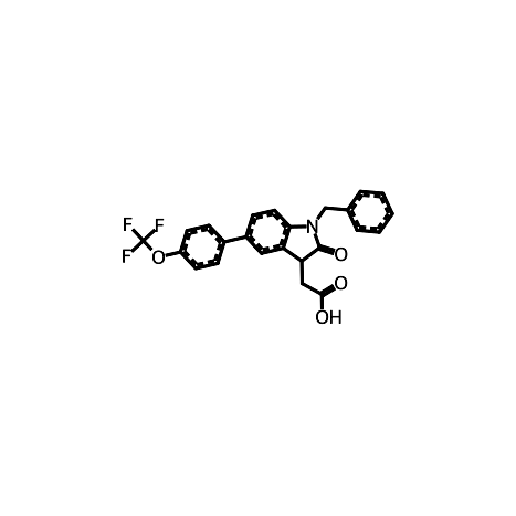 O=C(O)CC1C(=O)N(Cc2ccccc2)c2ccc(-c3ccc(OC(F)(F)F)cc3)cc21